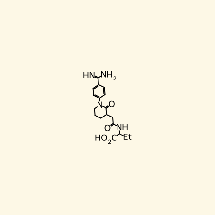 CC[C@H](NC(=O)CC1CCCN(c2ccc(C(=N)N)cc2)C1=O)C(=O)O